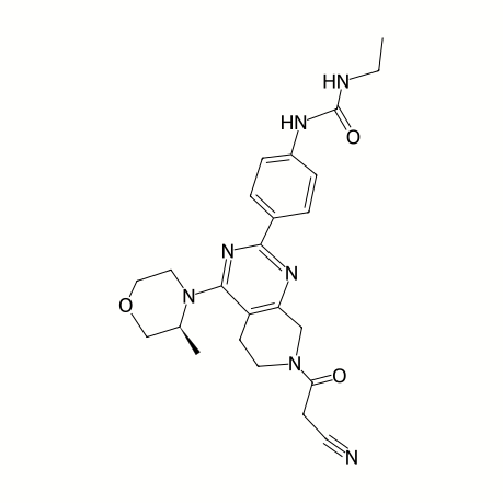 CCNC(=O)Nc1ccc(-c2nc3c(c(N4CCOC[C@@H]4C)n2)CCN(C(=O)CC#N)C3)cc1